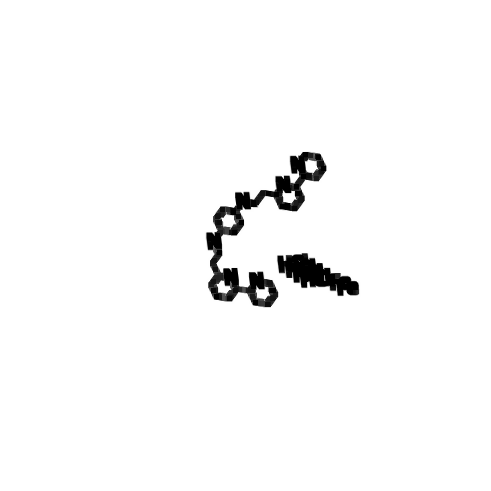 C(Cc1cccc(-c2ccccn2)n1)=Nc1ccc(N=CCc2cccc(-c3ccccn3)n2)cc1.Cl.Cl.Cl.Cl.[Fe].[Fe]